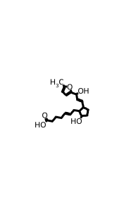 Cc1ccc(C(O)C=CC2CCC(O)C2CC=CCCCC(=O)O)o1